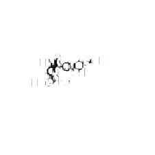 CCO[C@H]1CC[C@](C)(N2CCC(n3c(=O)[nH]c4ccc(OC)nc43)CC2)CC1.Cl